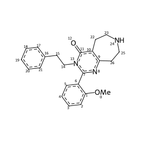 COc1ccccc1-c1nc2c(c(=O)n1CCc1ccccc1)CCNCC2